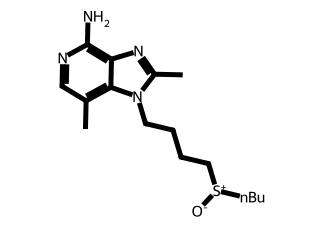 CCCC[S+]([O-])CCCCn1c(C)nc2c(N)ncc(C)c21